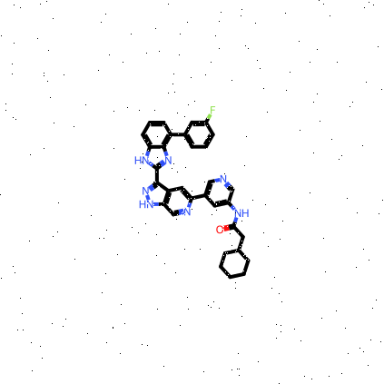 O=C(CC1CCCCC1)Nc1cncc(-c2cc3c(-c4nc5c(-c6cccc(F)c6)cccc5[nH]4)n[nH]c3cn2)c1